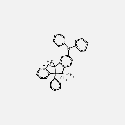 CC1(C)c2ccc(N(c3ccccc3)c3ccccc3)cc2C(C)(C)C1(c1ccccc1)c1ccccc1